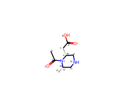 CC(=O)N1[C@H](CC(=O)O)CNC[C@@H]1C